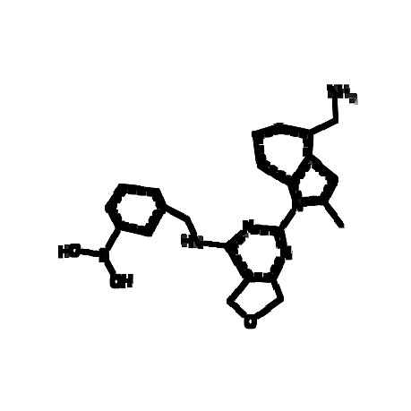 Cc1cc2c(CN)cccc2n1-c1nc2c(c(NCc3cccc(B(O)O)c3)n1)COC2